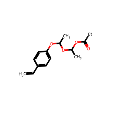 C=Cc1ccc(OC(C)OC(C)OC(=O)CC)cc1